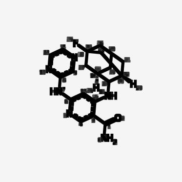 NC(=O)c1cnc(Nc2cnccn2)cc1NC1[C@@H]2CC3C[C@H]1CC(F)(C3)C2